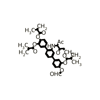 C=CC(=O)C(Nc1cc(-c2ccc(OC=O)c(OC(=O)C(=C)C)c2)ccc1-c1ccc(OC(=O)C(=C)C)c(OC(=O)C(=C)C)c1)C(C)=O